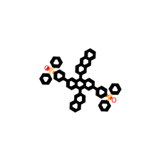 O=P(c1ccccc1)(c1ccccc1)c1ccc(-c2ccc3c(-c4ccc5cc6ccccc6cc5c4)c4cc(-c5ccc(P(=O)(c6ccccc6)c6ccccc6)cc5)ccc4c(-c4ccc5ccccc5c4)c3c2)cc1